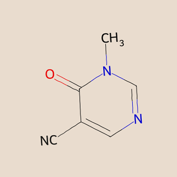 Cn1cncc(C#N)c1=O